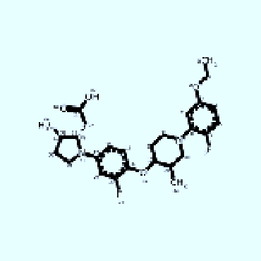 CCOc1ccc(F)c(N2CCC(Oc3ccc(N4CC[C@@H](C)[C@@H]4CC(=O)O)cc3F)C(C)C2)c1